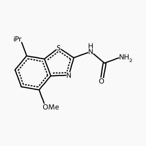 COc1ccc(C(C)C)c2sc(NC(N)=O)nc12